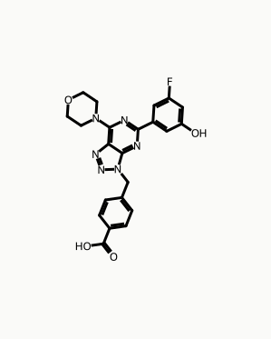 O=C(O)c1ccc(Cn2nnc3c(N4CCOCC4)nc(-c4cc(O)cc(F)c4)nc32)cc1